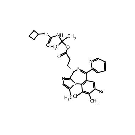 Cc1c(Br)cc2c(c1Cl)-n1c(C)cnc1[C@H](CCC(=O)OC(C)(C)NC(=O)OC1CCC1)N=C2c1ccccn1